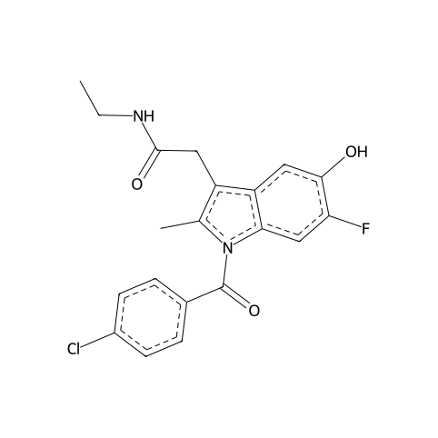 CCNC(=O)Cc1c(C)n(C(=O)c2ccc(Cl)cc2)c2cc(F)c(O)cc12